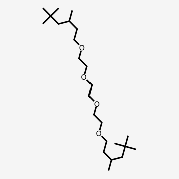 CC(CCOCCOCCOCCOCCC(C)CC(C)(C)C)CC(C)(C)C